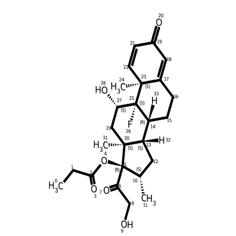 CCC(=O)O[C@]1(C(=O)CO)[C@@H](C)C[C@H]2[C@H]3CCC4=CC(=O)C=C[C@]4(C)[C@]3(F)[C@@H](O)C[C@@]21C